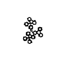 c1ccc(C2(c3ccc(N(c4ccc5c6ccccc6c6ccccc6c5c4)c4cccc5c4-c4ccccc4C5(c4ccccc4)c4ccccc4)cc3)c3ccccc3-c3ccccc32)cc1